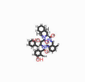 Cc1cccc(C)c1CNC(=O)[C@@H]1C[C@@H]2CCCC[C@@H]2CN1C(=O)[C@@H](O)[C@H](Cc1ccccc1)NC(=O)c1cccc(O)c1C